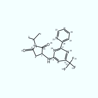 CC(C)N1C(=O)CC(Nc2cc(C(F)(F)F)nc(-c3ccccn3)n2)C1=O